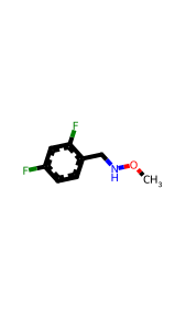 CONCc1ccc(F)cc1F